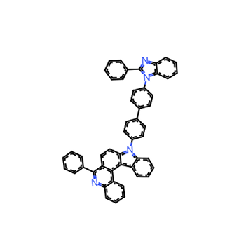 c1ccc(-c2nc3ccccc3c3c2ccc2c3c3ccccc3n2-c2ccc(-c3ccc(-n4c(-c5ccccc5)nc5ccccc54)cc3)cc2)cc1